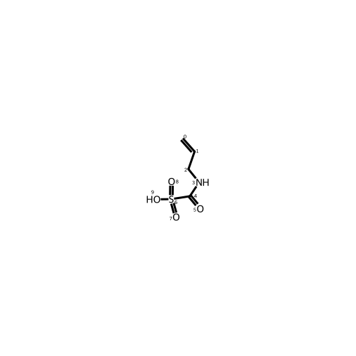 C=CCNC(=O)S(=O)(=O)O